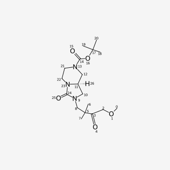 COCC(=O)C(C)(C)CN1C[C@@H]2CN(C(=O)OC(C)(C)C)CCN2C1=O